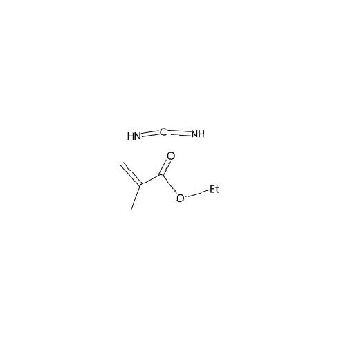 C=C(C)C(=O)OCC.N=C=N